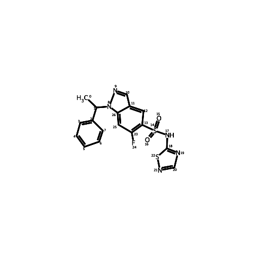 CC(c1ccccc1)n1ncc2cc(S(=O)(=O)Nc3ncns3)c(F)cc21